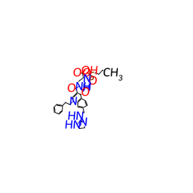 CCCCS(=O)(=O)NC(CNC(=O)c1cn(CCc2ccccc2)c2cc(CNC3=NCCN3)ccc2c1=O)C(=O)O